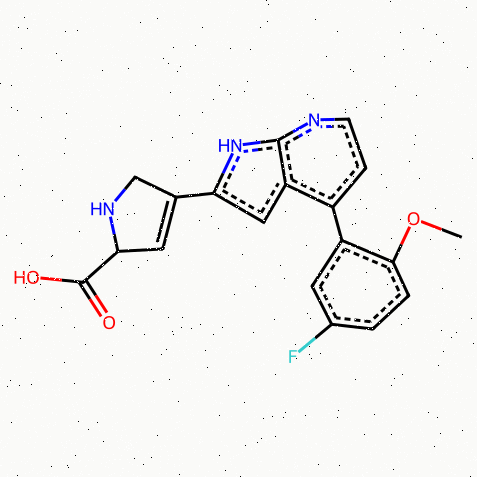 COc1ccc(F)cc1-c1ccnc2[nH]c(C3=CC(C(=O)O)NC3)cc12